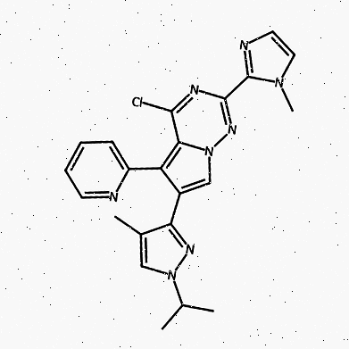 Cc1cn(C(C)C)nc1-c1cn2nc(-c3nccn3C)nc(Cl)c2c1-c1ccccn1